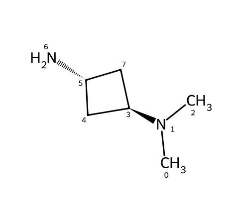 CN(C)[C@H]1C[C@H](N)C1